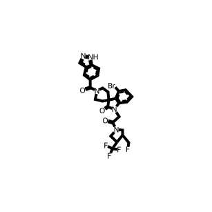 O=C(CN1C(=O)C2(CCN(C(=O)c3ccc4[nH]ncc4c3)CC2)c2c(Br)cccc21)N1CC(CF)C(C(F)(F)F)C1